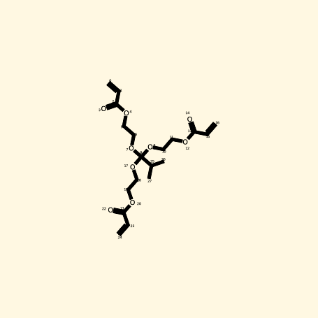 C=CC(=O)OCCOC(OCCOC(=O)C=C)(OCCOC(=O)C=C)C(C)C